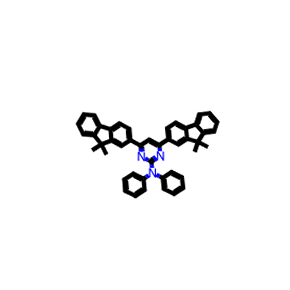 CC1(C)c2ccccc2-c2ccc(-c3cc(-c4ccc5c(c4)C(C)(C)c4ccccc4-5)nc(N(c4ccccc4)c4ccccc4)n3)cc21